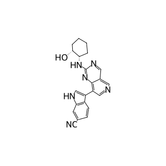 N#Cc1ccc2c(-c3cncc4cnc(N[C@H]5CCCC[C@H]5O)nc34)c[nH]c2c1